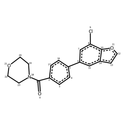 O=C(c1ccc(-c2cc(Cl)c3occc3c2)cc1)N1CCOCC1